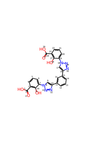 O=C(O)c1cccc(-n2cc(-c3cccc(-c4cn(-c5cccc(C(=O)O)c5O)nn4)c3)nn2)c1O